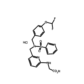 Cl.O=C(O)CNc1cccc(CN(Cc2ccc(OC(F)F)cc2)S(=O)(=O)c2cccnc2)n1